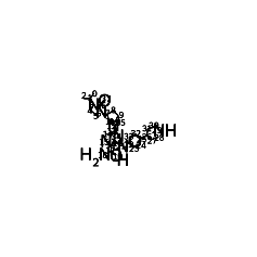 CC(C)N1CCN(C2CC3CC2N(c2cnc(C(N)=O)c(Nc4ccc(C5CCNCC5)cc4)n2)C3)C1=O